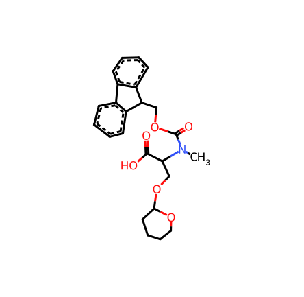 CN(C(=O)OCC1c2ccccc2-c2ccccc21)C(COC1CCCCO1)C(=O)O